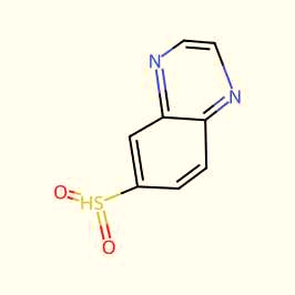 O=[SH](=O)c1ccc2nccnc2c1